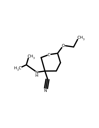 CCOC1CCC(C#N)(NC(C)C)CC1